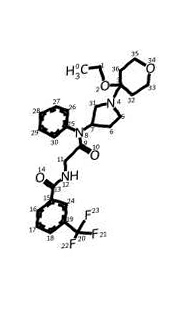 CCOC1(N2CCC(N(C(=O)CNC(=O)c3cccc(C(F)(F)F)c3)c3ccccc3)C2)CCOCC1